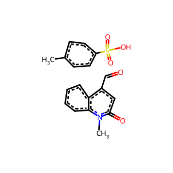 Cc1ccc(S(=O)(=O)O)cc1.Cn1c(=O)cc(C=O)c2ccccc21